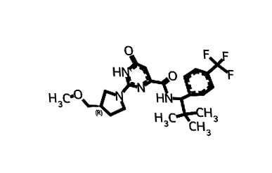 COC[C@@H]1CCN(c2nc(C(=O)NC(c3ccc(C(F)(F)F)cc3)C(C)(C)C)cc(=O)[nH]2)C1